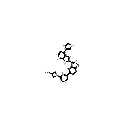 NC1CN(c2cncc(-c3ccc4[nH]nc(-c5cc6c(-c7ccoc7)ccnc6[nH]5)c4n3)n2)C1